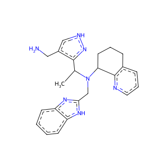 CC(c1n[nH]cc1CN)N(Cc1nc2ccccc2[nH]1)C1CCCc2cccnc21